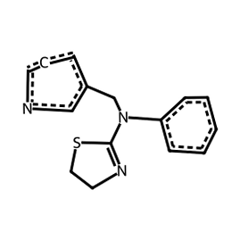 c1ccc(N(Cc2cccnc2)C2=NCCS2)cc1